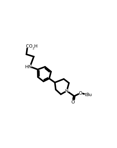 CC(C)(C)OC(=O)N1CCC(c2ccc(NCCC(=O)O)cc2)CC1